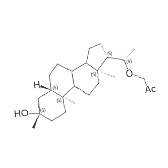 CC(=O)CO[C@@H](C)[C@H]1CCC2C3CC[C@H]4C[C@@](C)(O)CC[C@]4(C)C3CC[C@@]21C